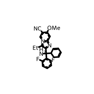 CCc1c(C(N)(c2ccccc2F)C2C=CC=CC2F)nc2cc(OC)c(C#N)cn12